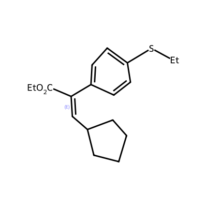 CCOC(=O)/C(=C/C1CCCC1)c1ccc(SCC)cc1